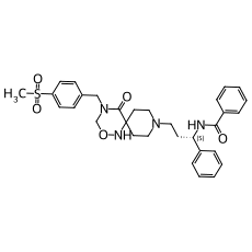 CS(=O)(=O)c1ccc(CN2CONC3(CCN(CC[C@H](NC(=O)c4ccccc4)c4ccccc4)CC3)C2=O)cc1